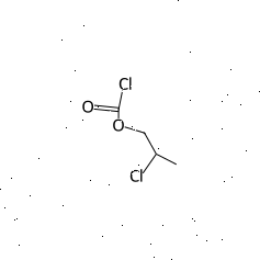 CC(Cl)COC(=O)Cl